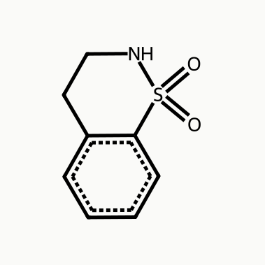 O=S1(=O)NCCc2ccccc21